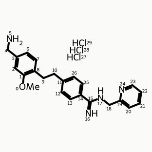 COc1cc(CN)ccc1CCc1ccc(C(=N)NCc2ccccn2)cc1.Cl.Cl.Cl